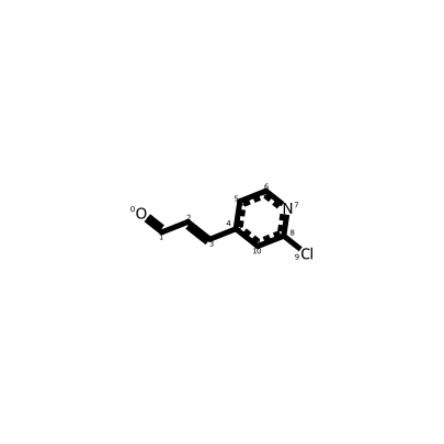 O=C/C=C/c1ccnc(Cl)c1